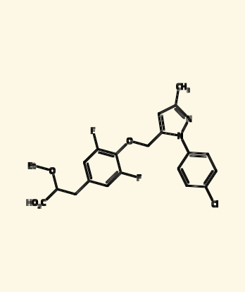 CCOC(Cc1cc(F)c(OCc2cc(C)nn2-c2ccc(Cl)cc2)c(F)c1)C(=O)O